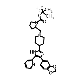 CC(C)(C)OC(=O)N1CCCC1CN1CCC(c2nc(-c3ccc4c(c3)OCO4)c(-c3ccccn3)[nH]2)CC1